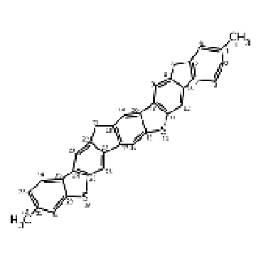 Cc1ccc2c(c1)Cc1cc3c(cc1-2)sc1cc2c(cc13)Cc1cc3c(cc1-2)sc1cc(C)ccc13